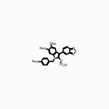 CCOC(=O)Oc1c(-c2ccc3nsnc3c2)c2cc(OC)c(OC)cc2n1Cc1ccc(OC)cc1